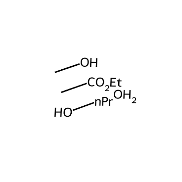 CCCO.CCOC(C)=O.CO.O